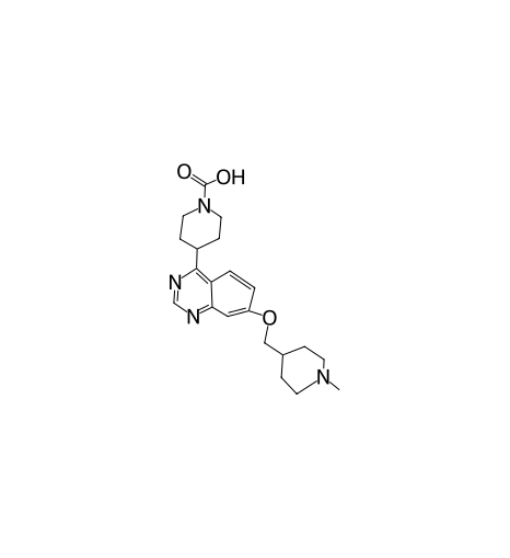 CN1CCC(COc2ccc3c(C4CCN(C(=O)O)CC4)ncnc3c2)CC1